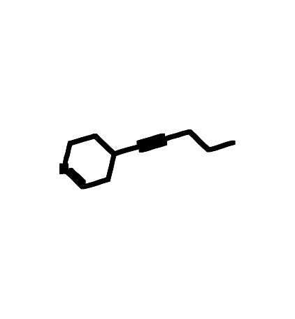 CCCC#CC1CC=NCC1